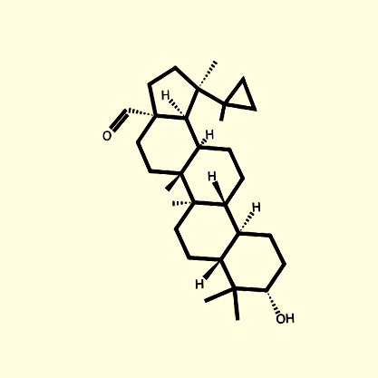 CC1(C)[C@@H]2CC[C@]3(C)[C@H](CC[C@@H]4[C@H]5[C@](C=O)(CC[C@@]5(C)C5(C)CC5)CC[C@]43C)[C@H]2CC[C@@H]1O